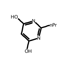 CCCc1nc(O)cc(O)n1